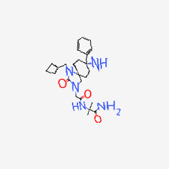 CN[C@]1(c2ccccc2)CC[C@@]2(CC1)CN(CC(=O)NC(C)(C)C(N)=O)C(=O)N2CC1CCC1